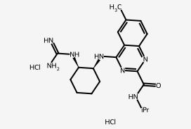 Cc1ccc2nc(C(=O)NC(C)C)nc(N[C@H]3CCCC[C@H]3NC(=N)N)c2c1.Cl.Cl